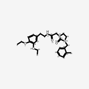 CCOc1ccc(CCNC(=O)CN2CCN(Cc3ccccc3C)C2=O)cc1OCC